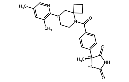 Cc1cnc(N2CCN(C(=O)c3ccc([C@@]4(C)NC(=O)NC4=O)cc3)C3(CCC3)C2)c(C)c1